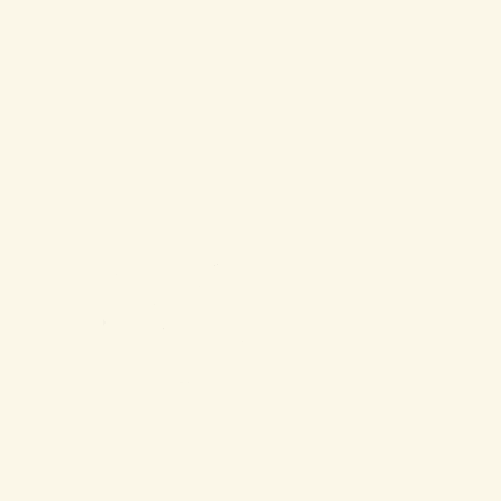 O=C1c2c(O)cccc2C(C(=O)Cc2ccc(OCc3ccccc3)cc2)c2cccc(O)c21